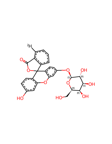 [2H]c1cccc2c1C(=O)OC21c2ccc(O)cc2Oc2cc(O[C@@H]3O[C@H](CO)[C@H](O)[C@H](O)[C@H]3O)ccc21